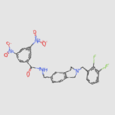 O=C(NCc1ccc2c(c1)CN(Cc1cccc(F)c1F)C2)c1cc([N+](=O)[O-])cc([N+](=O)[O-])c1